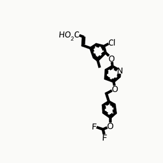 Cc1cc(C=CC(=O)O)cc(Cl)c1Oc1ccc(OCc2ccc(OC(F)F)cc2)cn1